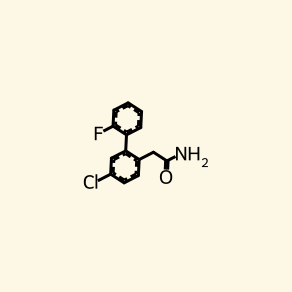 NC(=O)Cc1ccc(Cl)cc1-c1ccccc1F